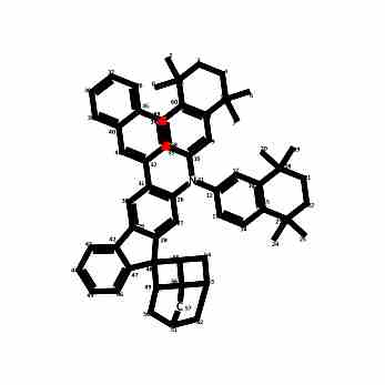 CC1(C)CCC(C)(C)c2cc(N(c3ccc4c(c3)C(C)(C)CCC4(C)C)c3cc4c(cc3-c3ccc5ccccc5c3)-c3ccccc3C43C4CC5CC6CC3C64C5)ccc21